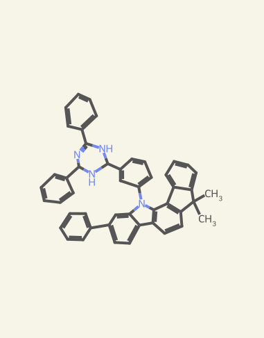 CC1(C)c2ccccc2-c2c1ccc1c3ccc(-c4ccccc4)cc3n(-c3cccc(C4NC(c5ccccc5)=NC(c5ccccc5)N4)c3)c21